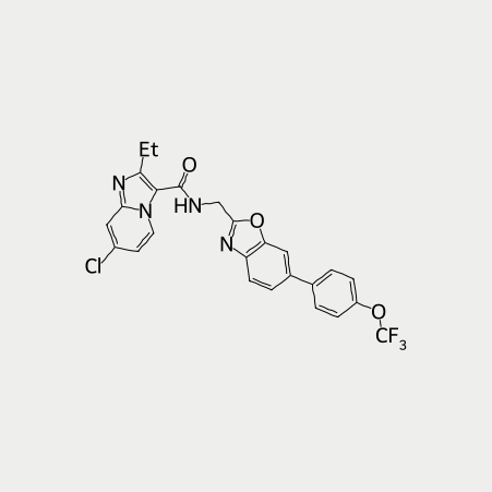 CCc1nc2cc(Cl)ccn2c1C(=O)NCc1nc2ccc(-c3ccc(OC(F)(F)F)cc3)cc2o1